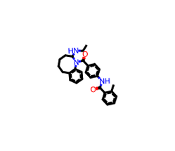 CCNC1CCCCc2ccccc2N1C(=O)c1ccc(NC(=O)c2ccccc2C)cc1